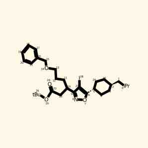 CC(C)C[C@H]1CC[C@H](c2onc(C(CCCOCc3ccccc3)CC(=O)OC(C)(C)C)c2I)CC1